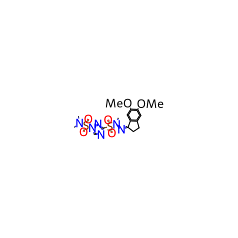 COc1cc2c(cc1OC)/C(=N\N(C)S(=O)(=O)c1ncn(S(=O)(=O)N(C)C)n1)CC2